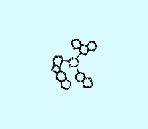 C1=Cc2cc3oc4cccc(-c5nc(-c6ccc7ccccc7c6)nc(-c6cc7ccccc7c7ccccc67)n5)c4c3cc2CN1